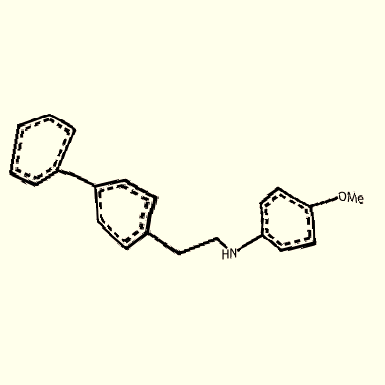 COc1ccc(NCCc2ccc(-c3ccccc3)cc2)cc1